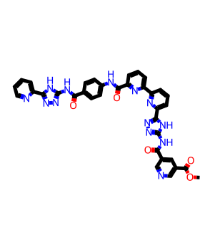 COC(=O)c1cncc(C(=O)Nc2nnc(-c3cccc(-c4cccc(C(=O)Nc5ccc(C(=O)Nc6nnc(-c7ccccn7)[nH]6)cc5)n4)n3)[nH]2)c1